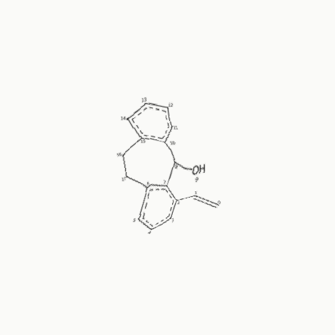 C=Cc1cccc2c1C(O)c1ccccc1CC2